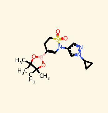 CC1(C)OB(C2=CN(c3cnn(C4CC4)c3)S(=O)(=O)CC2)OC1(C)C